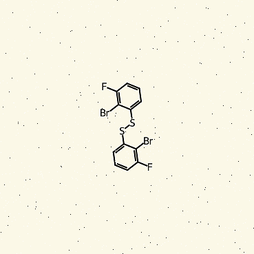 Fc1cccc(SSc2cccc(F)c2Br)c1Br